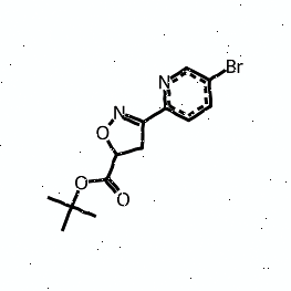 CC(C)(C)OC(=O)C1CC(c2ccc(Br)cn2)=NO1